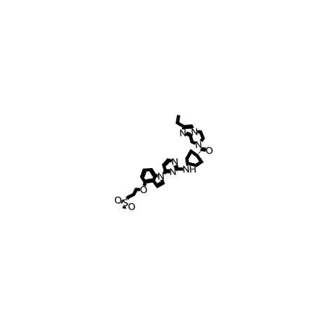 CCc1cn2c(n1)CN(C(=O)[C@H]1CC[C@H](Nc3nccc(-n4ccc5c(OCCCS(C)(=O)=O)cccc54)n3)CC1)CC2